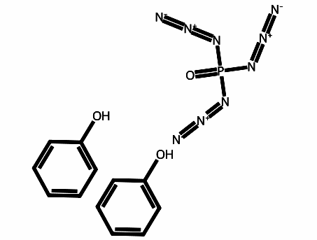 Oc1ccccc1.Oc1ccccc1.[N-]=[N+]=NP(=O)(N=[N+]=[N-])N=[N+]=[N-]